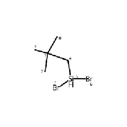 CC(C)(C)C[SiH](Br)Br